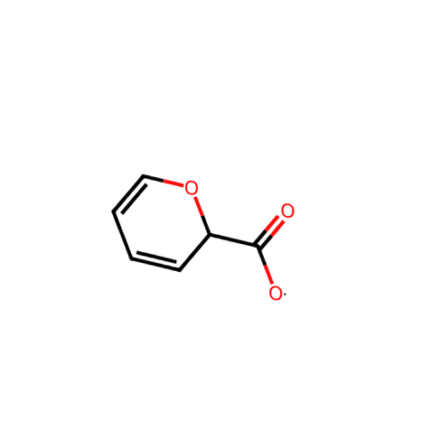 [O]C(=O)C1C=CC=CO1